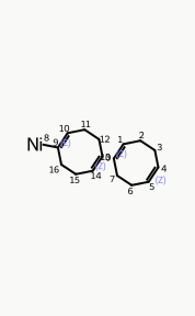 C1=C\CC/C=C\CC/1.[Ni]/[C]1=C/CC/C=C\CC1